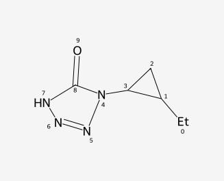 CCC1CC1n1nn[nH]c1=O